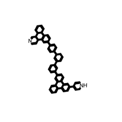 C1=CC2c3ccc(-c4ccc(C5C=C(c6cccc(-c7ccc8c9cc(C%10=CCNC=C%10)ccc9c9ccccc9c8c7)c6)C=CC5)cc4)cc3C3C=CN=CC3C2C=C1